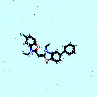 CCN1C(=Cc2oc3ccc(Cl)cc3[n+]2CC)Oc2ccc(-c3ccccc3)cc21